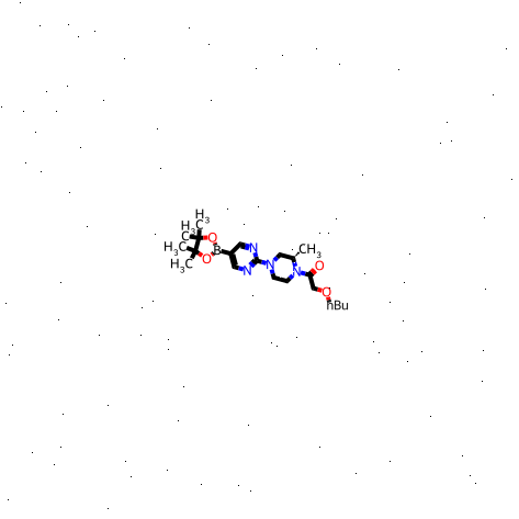 CCCCOCC(=O)N1CCN(c2ncc(B3OC(C)(C)C(C)(C)O3)cn2)C[C@@H]1C